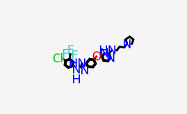 FC(F)(F)c1cc(Nc2nc3ccc(Oc4ccnc(NCCCN5CCCC5)n4)cc3[nH]2)ccc1Cl